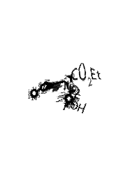 CCOC(=O)[C@H](C)C[C@@H](Cc1ccc(-c2ccccc2)cc1)NC(=O)c1ccc(F)c(O)c1F